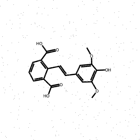 COc1cc(C=Cc2c(C(=O)O)cccc2C(=O)O)cc(OC)c1O